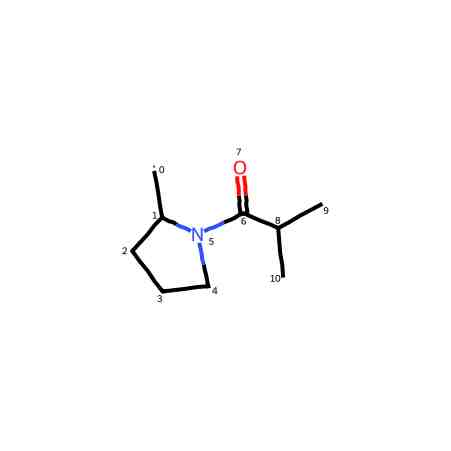 [CH2]C1CCCN1C(=O)C(C)C